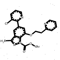 Bc1nn(C(=O)OC(C)(C)C)c2c(OCCc3ccccn3)cc(-c3ncccc3Cl)cc12